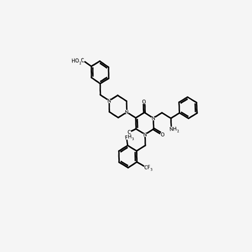 Cc1c(N2CCN(Cc3cccc(C(=O)O)c3)CC2)c(=O)n(CC(N)c2ccccc2)c(=O)n1Cc1c(F)cccc1C(F)(F)F